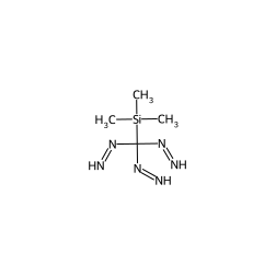 C[Si](C)(C)C(N=N)(N=N)N=N